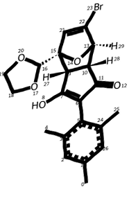 Cc1cc(C)c(C2=C(O)[C@H]3[C@@H](C2=O)[C@H]2O[C@]3(C3OCCO3)C=C2Br)c(C)c1